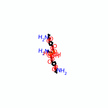 CC(C)[C@H](N)C(=O)OC1CCC(C(=O)OCOP(=O)(O)C(O)(CCCN)P(=O)(O)OCOC(=O)C2CCC(OC(=O)[C@@H](N)C(C)C)CC2)CC1